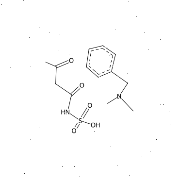 CC(=O)CC(=O)NS(=O)(=O)O.CN(C)Cc1ccccc1